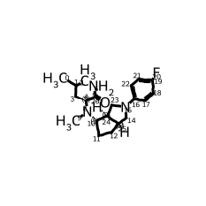 CC(C)C[C@@H](C(N)=O)N(C)[C@H]1CC[C@@H]2CN(c3ccc(F)cc3)C[C@@H]21